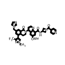 COc1cc(C(=O)NC2CN(C(=O)c3ccncc3)C2)c2nccc(N3CCc4c(cc(Cn5ccnc5)cc4-c4cn(C)nc4C(F)(F)F)C3=O)c2c1